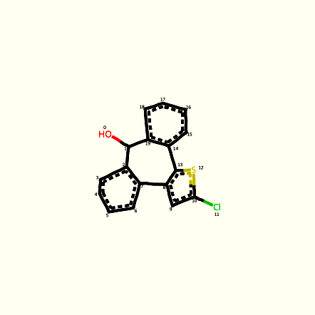 OC1c2ccccc2-c2cc(Cl)sc2-c2ccccc21